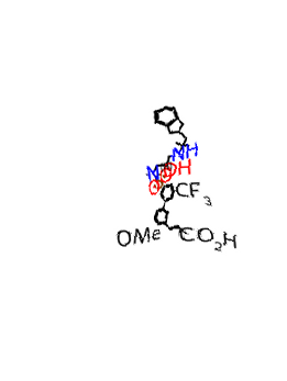 COc1ccc(-c2cc(C(F)(F)F)cc(S(=O)(=O)N(C)C[C@H](O)CNC(C)(C)CC3Cc4ccccc4C3)c2)cc1C=CC(=O)O